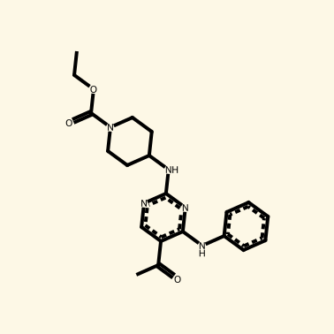 CCOC(=O)N1CCC(Nc2ncc(C(C)=O)c(Nc3ccccc3)n2)CC1